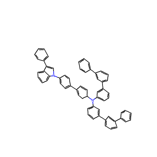 C1=CC(N(c2cccc(-c3cccc(-c4ccccc4)c3)c2)c2cccc(-c3cccc(-c4ccccc4)c3)c2)CC=C1c1ccc(-n2cc(-c3ccccc3)c3ccccc32)cc1